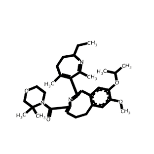 CCC1CCC(C)=C(C2=NC(C(=O)N3CCOCC3(C)C)=C3CCc4cc(OC)c(OC(C)C)cc4C2CC3)C(C)=N1